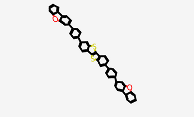 c1ccc2c(c1)oc1cc(-c3ccc(-c4ccc5c(c4)sc4c6ccc(-c7ccc(-c8ccc9c(c8)oc8ccccc89)cc7)cc6sc54)cc3)ccc12